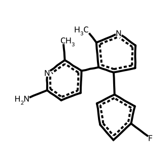 Cc1nc(N)ccc1-c1c(-c2cccc(F)c2)ccnc1C